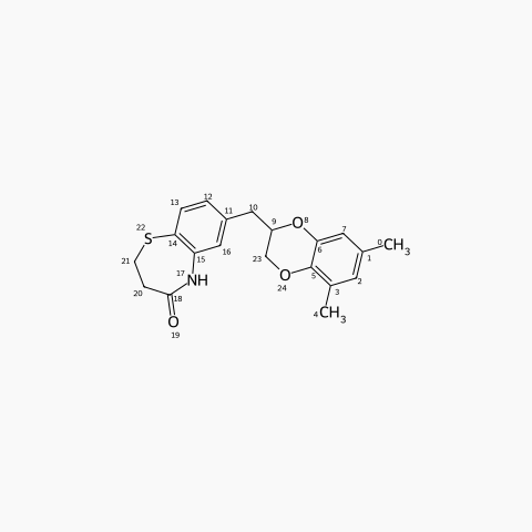 Cc1cc(C)c2c(c1)OC(Cc1ccc3c(c1)NC(=O)CCS3)CO2